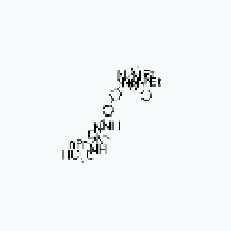 CCC[C@H](NC(=O)O)C(=O)N1CCC[C@H]1c1ncc(-c2ccc(-c3ccc(-c4cnc([C@@H]5CCCN5C(=O)[C@@H](c5ccccc5)N(CC)CC)[nH]4)cc3)cc2)[nH]1